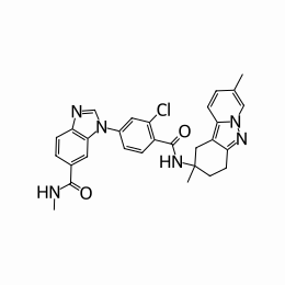 CNC(=O)c1ccc2ncn(-c3ccc(C(=O)NC4(C)CCc5nn6cc(C)ccc6c5C4)c(Cl)c3)c2c1